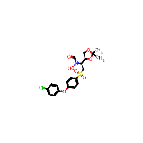 CC1(C)OC[C@H]([C@@H](CS(=O)(=O)c2ccc(Oc3ccc(Cl)cc3)cc2)N(O)C=O)O1